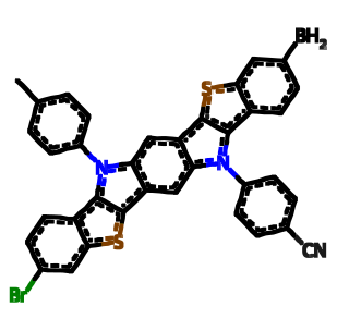 Bc1ccc2c(c1)sc1c3cc4c(cc3n(-c3ccc(C#N)cc3)c21)c1sc2cc(Br)ccc2c1n4-c1ccc(C)cc1